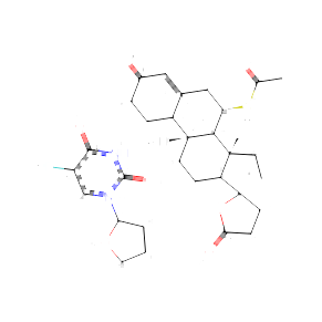 CC(=O)S[C@@H]1CC2=CC(=O)CC[C@]2(C)[C@H]2CC[C@@]3(C)[C@@H](CC[C@@]34CCC(=O)O4)[C@H]12.O=c1[nH]c(=O)n(C2CCCO2)cc1F